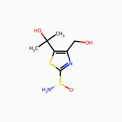 CC(C)(O)c1sc([S@@+](N)[O-])nc1CO